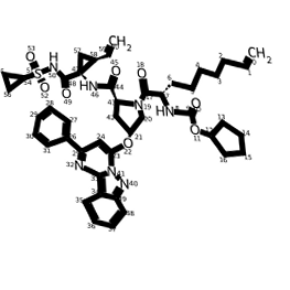 C=CCCCCC[C@H](NC(=O)OC1CCCC1)C(=O)N1C[C@H](Oc2cc(-c3ccccc3)nc3c4ccccc4nn23)C[C@H]1C(=O)N[C@]1(C(=O)NS(=O)(=O)C2CC2)C[C@H]1C=C